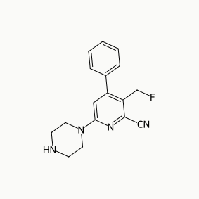 N#Cc1nc(N2CCNCC2)cc(-c2ccccc2)c1CF